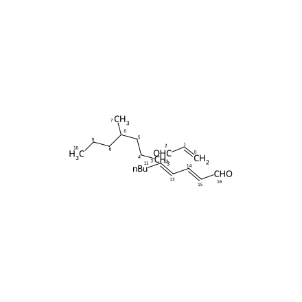 C=CC=O.CCCC(C)CCC.CCCCC=CC=CC=O